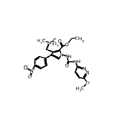 CCOC(=O)c1c(CN(C)C)c(-c2ccc([N+](=O)[O-])cc2)cn1NC(=O)Nc1ccc(OC)nn1